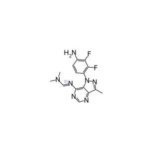 Cc1nn(-c2ccc(N)c(F)c2F)c2c(/N=C/N(C)C)ncnc12